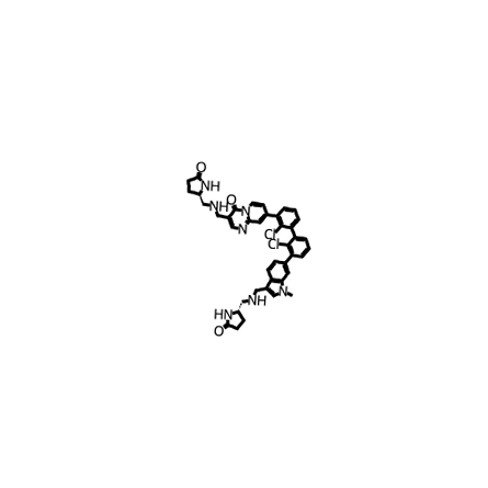 Cn1cc(CNC[C@@H]2CCC(=O)N2)c2ccc(-c3cccc(-c4cccc(-c5ccn6c(=O)c(CNC[C@H]7CCC(=O)N7)cnc6c5)c4Cl)c3Cl)cc21